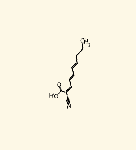 CCCC=CC=CC=C(C#N)C(=O)O